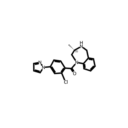 C[C@H]1CN(C(=O)c2ccc(-n3cccn3)cc2Cl)c2ccccc2CN1